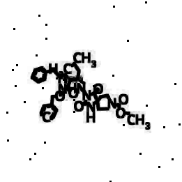 CCOC(=O)N1CCC2(CC1)NC(=O)N(NC[C@H](CC(C)C)[C@H](CCCc1ccccc1)C(=O)NOCc1ccccc1)C2=O